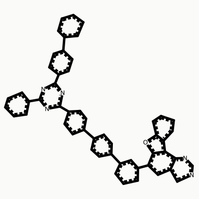 c1ccc(-c2ccc(-c3nc(-c4ccccc4)nc(-c4ccc(-c5ccc(-c6cccc(-c7cc8cncnc8c8c7oc7ccccc78)c6)cc5)cc4)n3)cc2)cc1